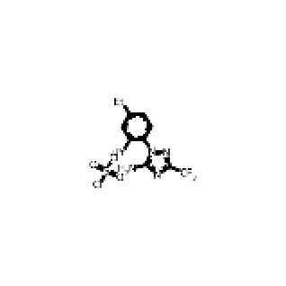 CCc1ccc(-n2nc(C(F)(F)F)nc2N)c(C(C)C)c1.O=S(=O)(Cl)Cl